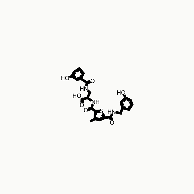 Cc1cc(C(=O)NCc2cccc(O)c2)sc1C(=O)NC(CNC(=O)c1cccc(O)c1)C(=O)O